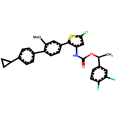 COc1cc(-c2sc(Cl)cc2NC(=O)OC(C)c2ccc(F)c(F)c2)ccc1-c1ccc(C2CC2)cc1